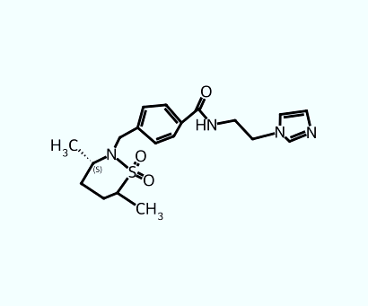 CC1CC[C@H](C)N(Cc2ccc(C(=O)NCCn3ccnc3)cc2)S1(=O)=O